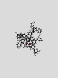 Cc1cc(C)cc(-c2ccc3c(c2)c2cc(-c4cc(C)cc(C)c4)ccc2n3-c2ccc(-c3nc(-c4ccccc4)nc(-c4ccccc4)n3)cc2-c2cccc(-c3cc(-c4nc(-c5ccccc5)nc(-c5ccccc5)n4)ccc3-n3c4ccc(-c5cc(C)cc(C)c5)cc4c4cc(-c5cc(C)cc(C)c5)ccc43)c2)c1